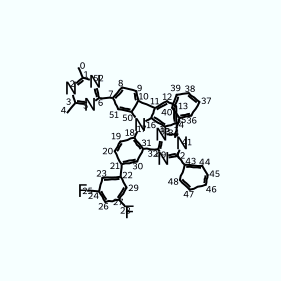 Cc1nc(C)nc(-c2ccc3c4ccccc4n(-c4ccc(-c5cc(F)cc(F)c5)cc4-c4nc(-c5ccccc5)nc(-c5ccccc5)n4)c3c2)n1